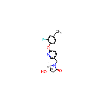 C[C@H]1[C@@H](O)CC(=O)N1Cc1ccc(Oc2ccc(C(F)(F)F)cc2F)nc1